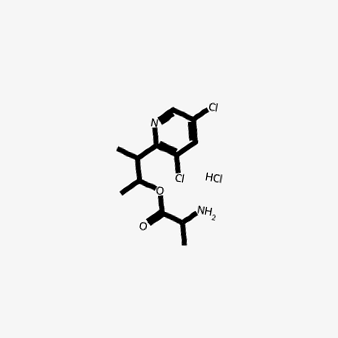 CC(N)C(=O)OC(C)C(C)c1ncc(Cl)cc1Cl.Cl